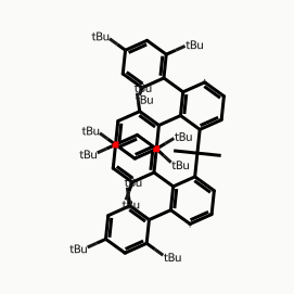 CC(C)(C)c1cc(C(C)(C)C)c(-c2[c]ccc(C(C)(C)c3cc[c]c(-c4c(C(C)(C)C)cc(C(C)(C)C)cc4C(C)(C)C)c3-c3c(C(C)(C)C)cc(C(C)(C)C)cc3C(C)(C)C)c2-c2c(C(C)(C)C)cc(C(C)(C)C)cc2C(C)(C)C)c(C(C)(C)C)c1